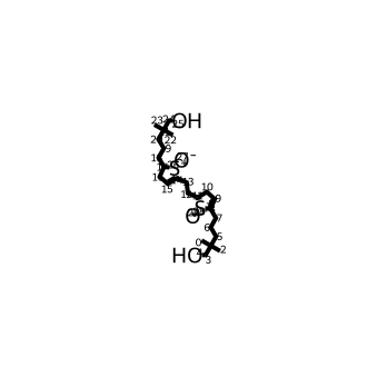 CC(C)(CO)CCCC1=CCC(CCC2=CCC(CCCC(C)(C)CO)[S+]2[O-])[S+]1[O-]